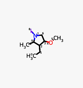 CCC1C(OC)CN(I)C1C